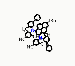 Cc1cc(C#N)ccc1N(c1cc(-c2ccccc2)ccc1C)c1cc(N(c2ccc(C#N)cc2C)c2cc(-c3ccccc3)ccc2C)c2ccc3cc(C(C)(C)C)cc4ccc1c2c43